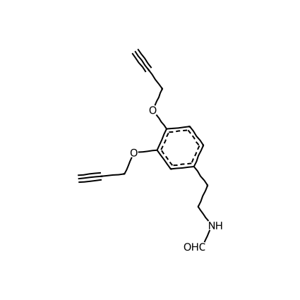 C#CCOc1ccc(CCNC=O)cc1OCC#C